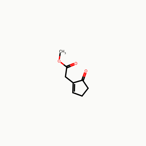 COC(=O)CC1=CCCC1=O